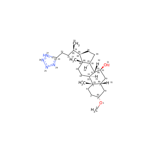 CO[C@@H]1CC[C@@]2(C)[C@@H](C1)C[C@H](O)[C@@H]1[C@@H]2CC[C@]2(C)[C@@H]([C@H](C)CCc3nnn[nH]3)CC[C@@H]12